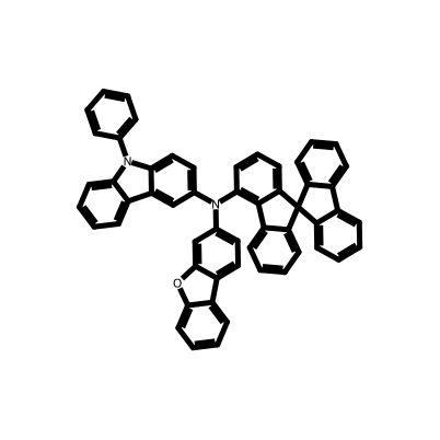 c1ccc(-n2c3ccccc3c3cc(N(c4ccc5c(c4)oc4ccccc45)c4cccc5c4-c4ccccc4C54c5ccccc5-c5ccccc54)ccc32)cc1